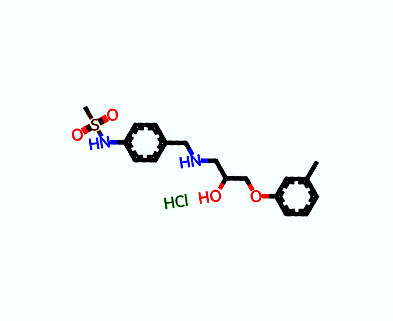 Cc1cccc(OCC(O)CNCc2ccc(NS(C)(=O)=O)cc2)c1.Cl